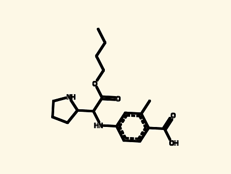 CCCCOC(=O)C(Nc1ccc(C(=O)O)c(C)c1)C1CCCN1